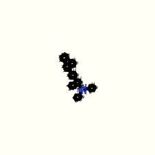 c1ccc(-c2nc(-c3ccccc3)nc(-c3ccc(-c4ccc(-c5ccc6c7c(cccc57)-c5ccccc5-6)cc4)c4ccccc34)n2)cc1